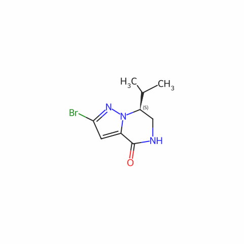 CC(C)[C@H]1CNC(=O)c2cc(Br)nn21